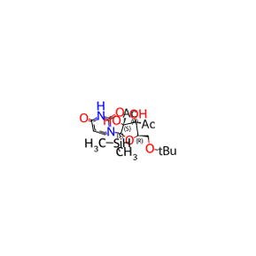 CC(=O)[C@@]1(O)[C@@](O)(C(C)=O)[C@@H](COC(C)(C)C)O[C@]1(n1ccc(=O)[nH]c1=O)[SiH](C)C